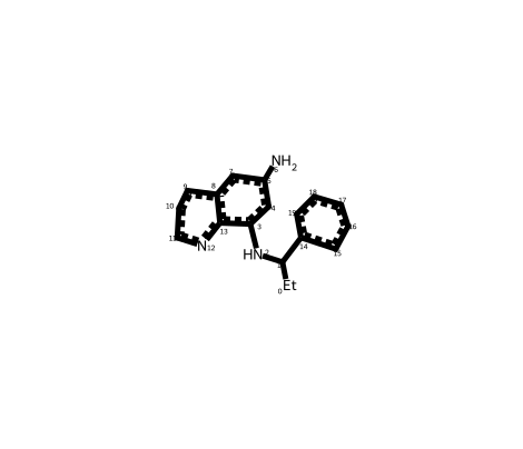 CCC(Nc1cc(N)cc2cccnc12)c1ccccc1